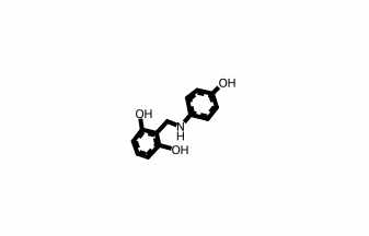 Oc1ccc(NCc2c(O)cccc2O)cc1